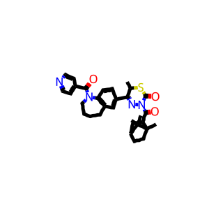 CC1SC(=O)N(C(=O)C2CC3CCC2(C)C3(C)C)N=C1c1ccc2c(c1)CCCCN2C(=O)c1ccncc1